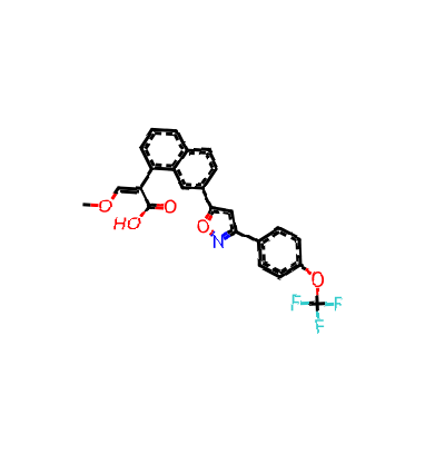 COC=C(C(=O)O)c1cccc2ccc(-c3cc(-c4ccc(OC(F)(F)F)cc4)no3)cc12